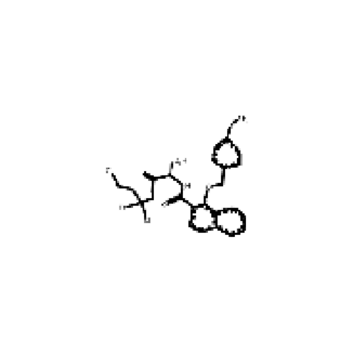 C=C(CC(Cl)(CC)CCCl)[C@H](NC(=O)c1ccc2ccccc2c1OCc1ccc(SC(F)(F)F)cc1)C(=O)O